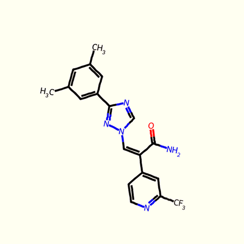 Cc1cc(C)cc(-c2ncn(/C=C(\C(N)=O)c3ccnc(C(F)(F)F)c3)n2)c1